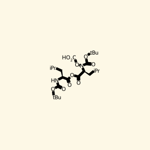 CC(C)C[C@H](NC(=O)OC(C)(C)C)C(=O)OC(=O)[C@H](CC(C)C)N(OC(=O)O)C(=O)OC(C)(C)C